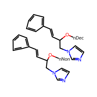 CCCCCCCCCCOC(/C=C/c1ccccc1)Cn1ccnc1.CCCCCCCCCOC(/C=C/c1ccccc1)Cn1ccnc1